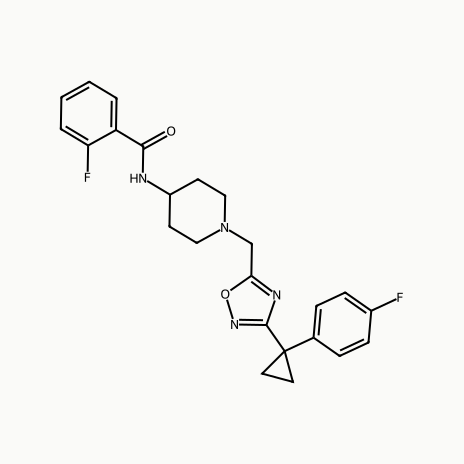 O=C(NC1CCN(Cc2nc(C3(c4ccc(F)cc4)CC3)no2)CC1)c1ccccc1F